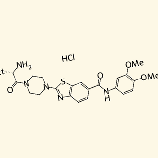 CC[C@H](N)C(=O)N1CCN(c2nc3ccc(C(=O)Nc4ccc(OC)c(OC)c4)cc3s2)CC1.Cl